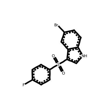 O=S(=O)(c1ccc(F)cc1)c1c[nH]c2ccc(Br)cc12